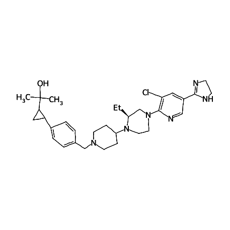 CC[C@H]1CN(c2ncc(C3=NCCN3)cc2Cl)CCN1C1CCN(Cc2ccc(C3CC3C(C)(C)O)cc2)CC1